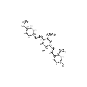 COc1cc(N=Nc2ccc(C)cc2[N+](=O)[O-])c(C)cc1N=Nc1ccc(CC(C)C)cc1